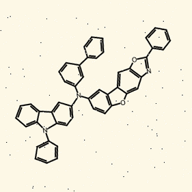 c1ccc(-c2cccc(N(c3ccc4oc5cc6nc(-c7ccccc7)oc6cc5c4c3)c3ccc4c(c3)c3ccccc3n4-c3ccccc3)c2)cc1